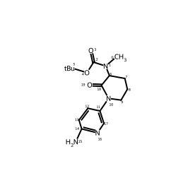 CN(C(=O)OC(C)(C)C)C1CCCN(c2ccc(N)nc2)C1=O